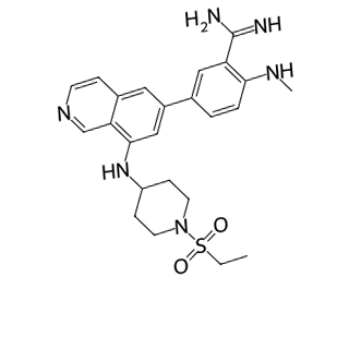 CCS(=O)(=O)N1CCC(Nc2cc(-c3ccc(NC)c(C(=N)N)c3)cc3ccncc23)CC1